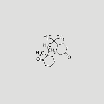 CC(C)(C)C1CCC(=O)CC1.CC1(C)CCCCC1=O